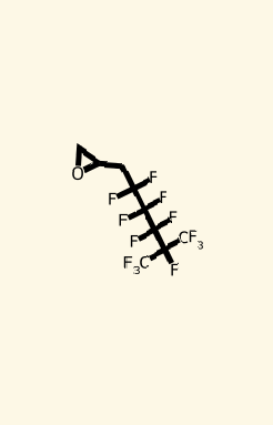 FC(F)(F)C(F)(C(F)(F)F)C(F)(F)C(F)(F)C(F)(F)CC1CO1